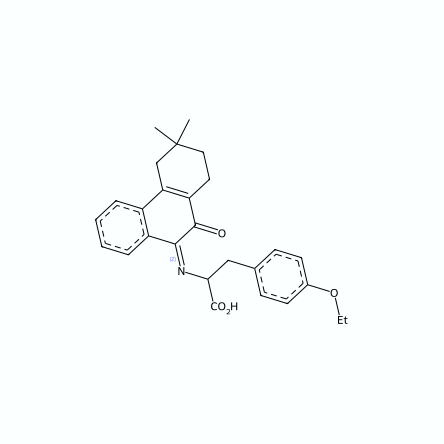 CCOc1ccc(CC(/N=C2\C(=O)C3=C(CC(C)(C)CC3)c3ccccc32)C(=O)O)cc1